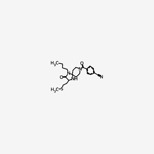 CCCCN1C(=O)C(CCSC)NC12CCN(C(=O)c1ccc(C#N)cc1)CC2